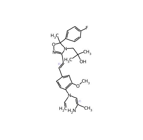 C=CN(/C=C(/C)N)c1ccc(/C=C/C2=NOC(C)(c3ccc(F)cc3)N2CC(C)(C)O)cc1OC